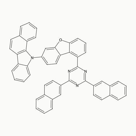 c1ccc2cc(-c3nc(-c4ccc5ccccc5c4)nc(-c4cccc5oc6cc(-n7c8ccccc8c8ccc9ccccc9c87)ccc6c45)n3)ccc2c1